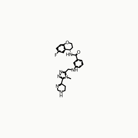 Cn1c(CNc2cccc(C(=O)N[C@H]3CCOc4ccc(F)cc43)c2)nnc1C1=NCNCC1